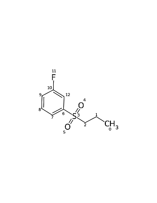 CCCS(=O)(=O)c1cccc(F)c1